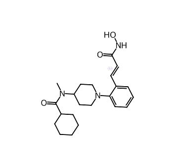 CN(C(=O)C1CCCCC1)C1CCN(c2ccccc2/C=C/C(=O)NO)CC1